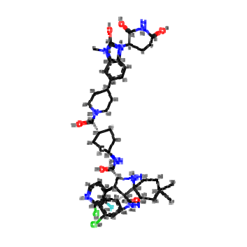 Cn1c(=O)n(C2CCC(=O)NC2=O)c2ccc(C3CCN(C(=O)[C@H]4CC[C@H](NC(=O)[C@@H]5NC6(CCC(C)(C)CC6)[C@@]6(C(=O)Nc7cc(Cl)ccc76)[C@H]5c5ccnc(Cl)c5F)CC4)CC3)cc21